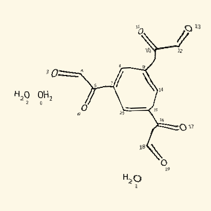 O.O.O.O=CC(=O)c1cc(C(=O)C=O)cc(C(=O)C=O)c1